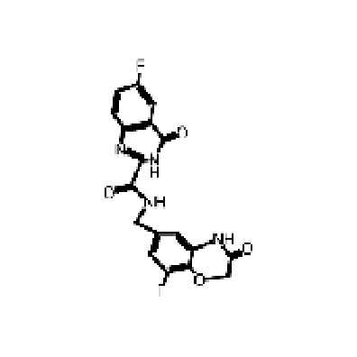 O=C1COc2c(F)cc(CNC(=O)c3nc4ccc(F)cc4c(=O)[nH]3)cc2N1